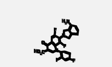 Nc1cccc2c1CN(c1c(F)cc3c(=O)c(C(=O)O)cn(-c4ccc(F)cc4F)c3c1F)C2